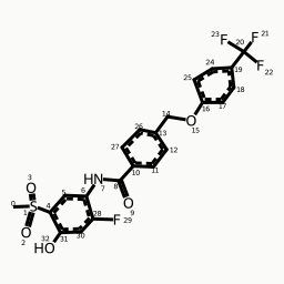 CS(=O)(=O)c1cc(NC(=O)c2ccc(COc3ccc(C(F)(F)F)cc3)cc2)c(F)cc1O